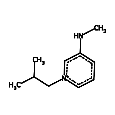 CNc1ccc[n+](CC(C)C)c1